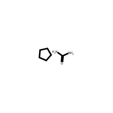 C1CCCC1.NC(N)=O